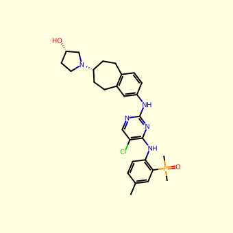 Cc1ccc(Nc2nc(Nc3ccc4c(c3)CC[C@H](N3CC[C@H](O)C3)CC4)ncc2Cl)c(P(C)(C)=O)c1